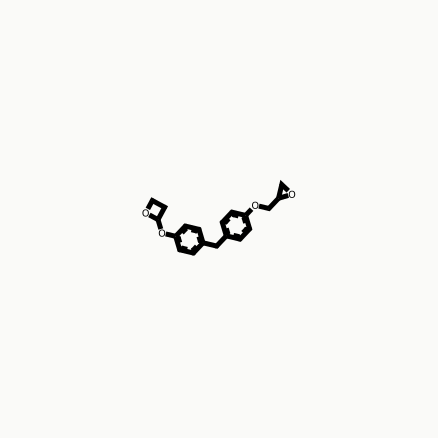 c1cc(OCC2CO2)ccc1Cc1ccc(OC2CCO2)cc1